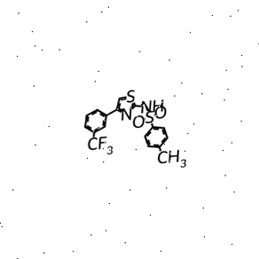 Cc1ccc(S(=O)(=O)Nc2nc(-c3cccc(C(F)(F)F)c3)cs2)cc1